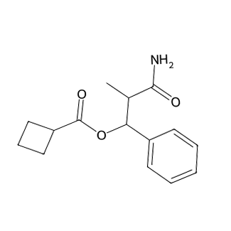 CC(C(N)=O)C(OC(=O)C1CCC1)c1ccccc1